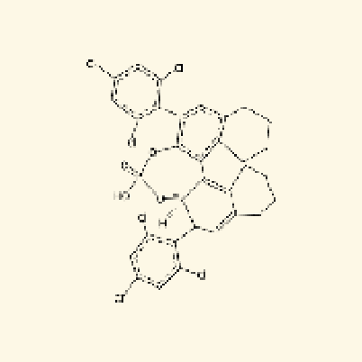 O=P1(O)Oc2c(-c3c(Cl)cc(Cl)cc3Cl)cc3c(c2C2=C4CCCCC4=CC(c4c(Cl)cc(Cl)cc4Cl)[C@H]2O1)CCCC3